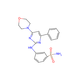 NS(=O)(=O)c1cccc(Nc2nc(-c3ccccc3)cc(N3CCOCC3)n2)c1